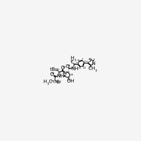 Cc1ncsc1-c1ccc([C@H](C)NC(=O)[C@@H]2C[C@@H](O)CN2C(=O)[C@@H](NC(=O)[C@@H](C)Br)C(C)(C)C)cc1